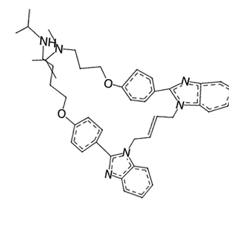 CC(C)NCCCCOc1ccc(-c2nc3ccccc3n2CC=CCn2c(-c3ccc(OCCCN(C)C(C)C)cc3)nc3ccccc32)cc1